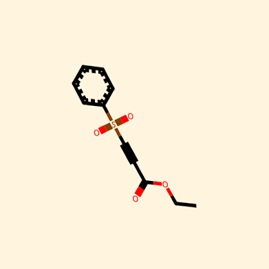 CCOC(=O)C#CS(=O)(=O)c1ccccc1